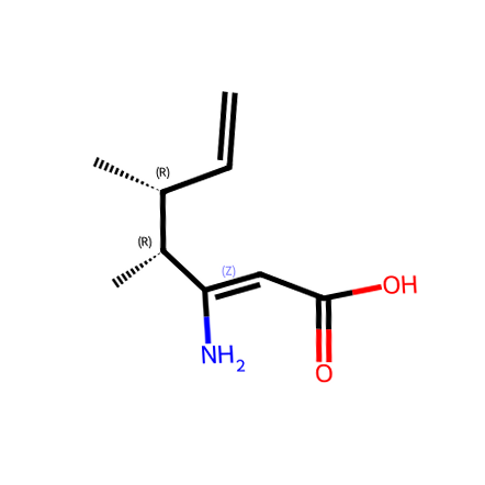 C=C[C@@H](C)[C@@H](C)/C(N)=C/C(=O)O